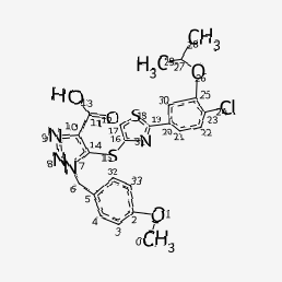 COc1ccc(Cn2nnc(C(=O)O)c2Sc2csc(-c3ccc(Cl)c(OC(C)C)c3)n2)cc1